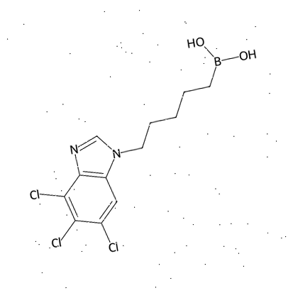 OB(O)CCCCCn1cnc2c(Cl)c(Cl)c(Cl)cc21